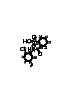 Cc1ccc(Cl)c(NC(=O)c2ccccc2S(=O)(=O)O)c1